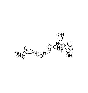 CCc1c(F)ccc2cc(O)cc(-c3ncc4c(N5CCC[C@@](C)(O)C5)nc(OCC5(CN6CCC7(CC6)CC(OC6CCN(c8ccc9c(c8)CN(C8CCC(=O)NC8=O)C9=O)CC6)C7)CC5)nc4c3F)c12